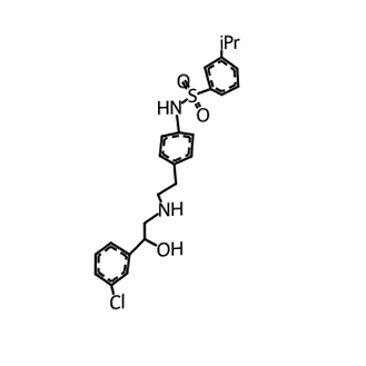 CC(C)c1cccc(S(=O)(=O)Nc2ccc(CCNCC(O)c3cccc(Cl)c3)cc2)c1